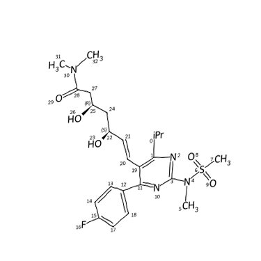 CC(C)c1nc(N(C)S(C)(=O)=O)nc(-c2ccc(F)cc2)c1C=C[C@@H](O)C[C@@H](O)CC(=O)N(C)C